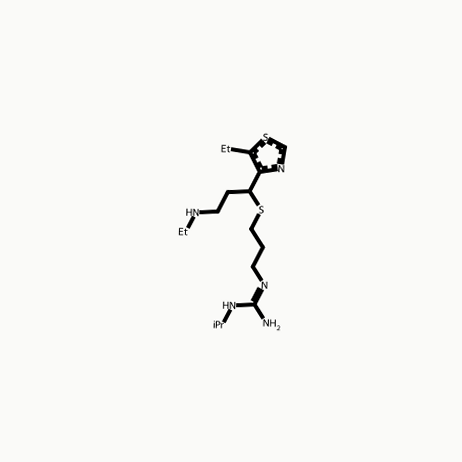 CCNCCC(SCCCN=C(N)NC(C)C)c1ncsc1CC